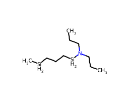 CCCN(CCC)[SiH2]CCC[SiH2]C